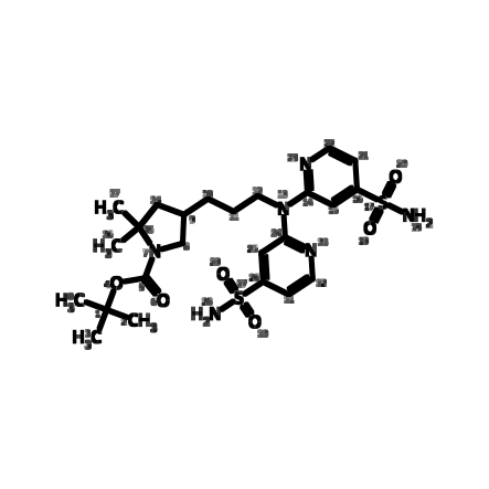 CC(C)(C)OC(=O)N1CC(CCCN(c2cc(S(N)(=O)=O)ccn2)c2cc(S(N)(=O)=O)ccn2)CC1(C)C